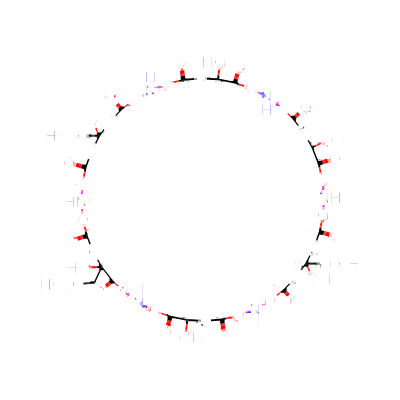 O=C(O)CC1(O)CC(=O)ONOC(=O)CC(O)(C(=O)O)CC(=O)ONOC(=O)CC(O)C(=O)ONOC(=O)CC(O)C(=O)ONOC(=O)CC(O)(C(=O)O)CC(=O)ONOC(=O)CC(O)C(=O)ONOC1=O